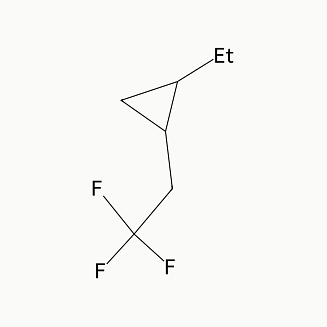 CCC1CC1CC(F)(F)F